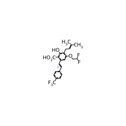 CC(C)=CCc1c(OCC(F)F)cc(/C=C/c2ccc(C(F)(F)F)cc2)c(C(=O)O)c1O